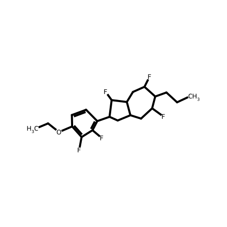 CCCC1C(F)CC2CC(c3ccc(OCC)c(F)c3F)C(F)C2CC1F